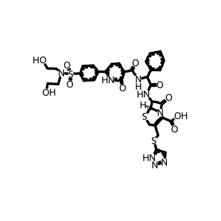 O=C(O)C1=C(CSc2cnn[nH]2)CS[C@H]2C(NC(=O)C(NC(=O)c3ccc(-c4ccc(S(=O)(=O)N(CCO)CCO)cc4)[nH]c3=O)c3ccccc3)C(=O)N12